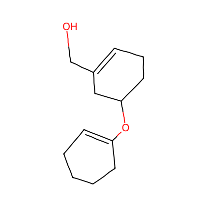 OCC1=CCCC(OC2=CCCCC2)C1